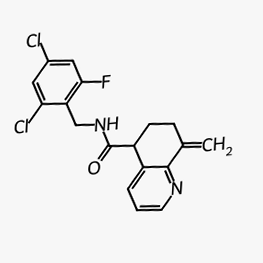 C=C1CCC(C(=O)NCc2c(F)cc(Cl)cc2Cl)c2cccnc21